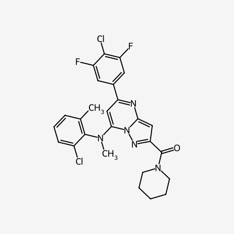 Cc1cccc(Cl)c1N(C)c1cc(-c2cc(F)c(Cl)c(F)c2)nc2cc(C(=O)N3CCCCC3)nn12